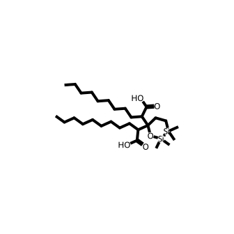 CCCCCCCCCC(C(=O)O)C1(C(CCCCCCCCC)C(=O)O)CC[Si](C)(C)[Si](C)(C)O1